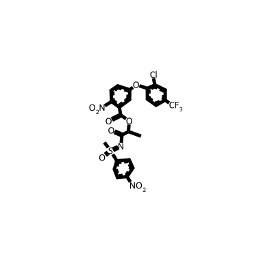 CC(OC(=O)c1cc(Oc2ccc(C(F)(F)F)cc2Cl)ccc1[N+](=O)[O-])C(=O)N=S(C)(=O)c1ccc([N+](=O)[O-])cc1